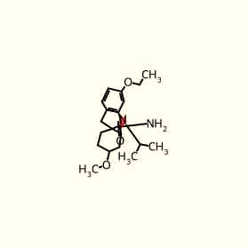 CCOc1ccc2c(c1)C1(N=C(N)N(C(C)C)C1=O)C1(CCC(OC)CC1)C2